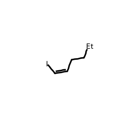 CCCC/C=C\I